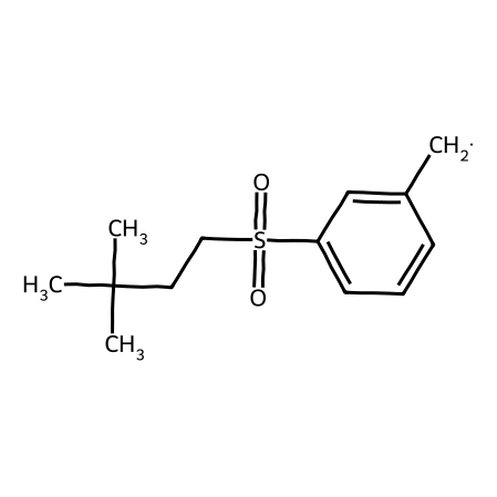 [CH2]c1cccc(S(=O)(=O)CCC(C)(C)C)c1